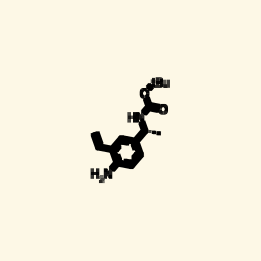 C=Cc1cc([C@@H](C)NC(=O)OC(C)(C)C)ccc1N